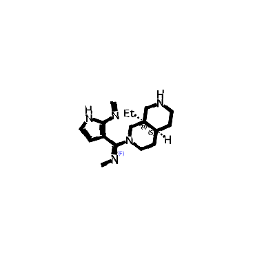 C=Nc1[nH]ccc1/C(=N\C)N1CC[C@@H]2CCNC[C@]2(CC)C1